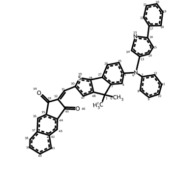 CC1(C)c2cc(N(c3ccccc3)c3ccc(-c4ccccc4)nc3)ccc2-c2sc(C=C3C(=O)c4cc5ccccc5cc4C3=O)cc21